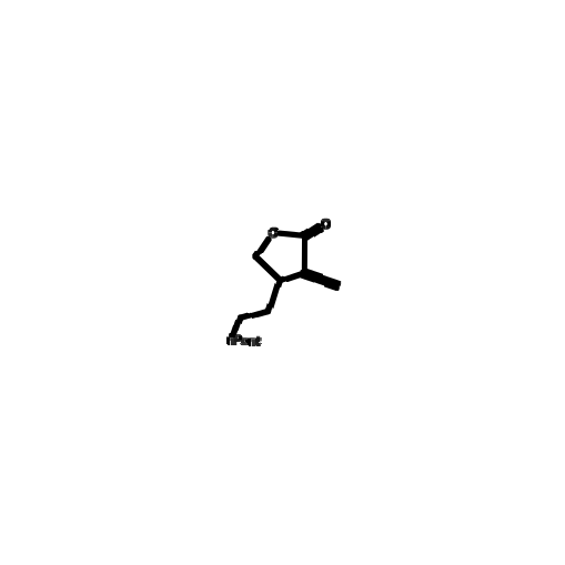 C=C1C(=O)OCC1CCCCCCC